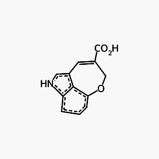 O=C(O)C1=Cc2c[nH]c3cccc(c23)OC1